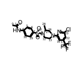 CC(=O)Nc1ccc(S(=O)(=O)N2CCN(c3cc(C(F)(F)F)cc(Cl)n3)CC2C)cc1